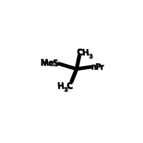 CCCC(C)(C)SC